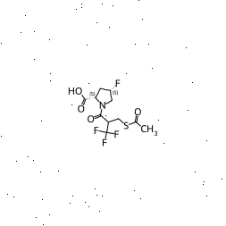 CC(=O)SCC(C(=O)N1C[C@@H](F)C[C@H]1C(=O)O)C(F)(F)F